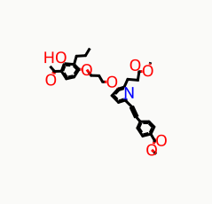 CCCc1c(OCCCOc2ccc(C#Cc3ccc(C(=O)OC)cc3)nc2CCC(=O)OC)ccc(C(C)=O)c1O